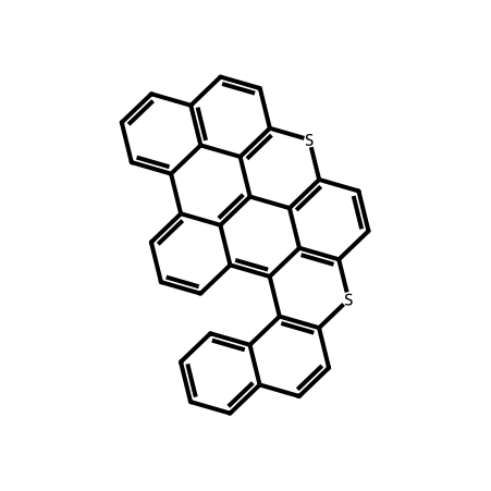 c1ccc2c(c1)ccc1sc3ccc4sc5ccc6cccc7c8cccc9c8c(c5c67)c4c3c9c12